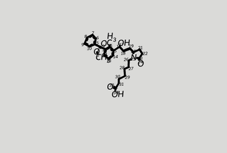 COC(OC)(c1ccccc1)c1cccc([C@H](O)/C=C/C2CCC(=O)N2CCCCCCC(=O)O)c1